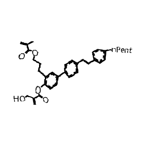 C=C(C)C(=O)OCCCc1cc(-c2ccc(CCc3ccc(CCCCC)cc3)cc2)ccc1OC(=O)C(=C)CO